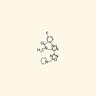 CN1Cc2c(-c3noc(CN4CCCCC4)n3)ncn2-c2ccc(F)cc2C1=O